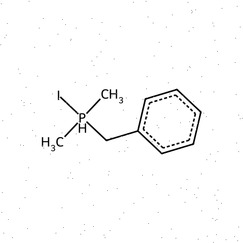 C[PH](C)(I)Cc1ccccc1